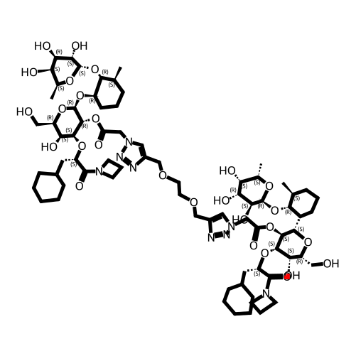 C[C@@H]1O[C@@H](O[C@@H]2[C@@H](C)CCC[C@H]2O[C@@H]2O[C@H](CO)[C@H](O)[C@H](O[C@@H](CC3CCCCC3)C(=O)N3CCC3)[C@H]2OC(=O)Cn2cc(COCCOCc3cn(CC(=O)O[C@@H]4[C@@H](O[C@@H](CC5CCCCC5)C(=O)N5CCC5)[C@@H](O)[C@@H](CO)O[C@H]4C4CCC[C@H](C)[C@H]4O[C@@H]4O[C@@H](C)[C@@H](O)[C@@H](O)[C@@H]4O)nn3)nn2)[C@@H](O)[C@H](O)[C@@H]1O